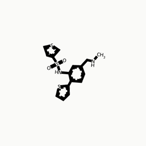 CNCc1ccc(-c2cccs2)c(NS(=O)(=O)c2ccsc2)c1